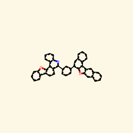 c1cc(-c2nc3ccccc3c3c2ccc2c4ccccc4oc23)cc(-c2cc3ccccc3c3c2oc2cc4ccccc4cc23)c1